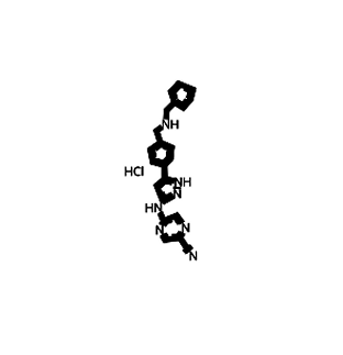 Cl.N#Cc1cnc(Nc2cc(-c3ccc(CNCc4ccccc4)cc3)[nH]n2)cn1